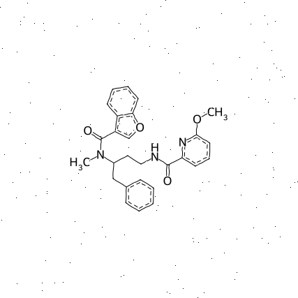 COc1cccc(C(=O)NCCC(Cc2ccccc2)N(C)C(=O)c2coc3ccccc23)n1